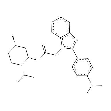 CC(C)[C@@H]1CC[C@@H](C)C[C@H]1OC(=O)Cn1c(-c2ccc(N(C)C)cc2)nc2ccccc21